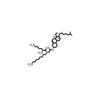 CC(C)CCC[C@@H](C)[C@H]1CC[C@H]2[C@@H]3CC=C4C[C@@H](OC(=O)CN(CCCCCCCCN)C(=O)[C@@H](N)CCCCN)CC[C@]4(C)C3CC[C@]12C